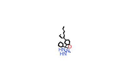 C=C/C=C/C=C(\C=C/C)c1cccc(C2(c3ccccc3)NC(=N)N(C)C2=O)c1